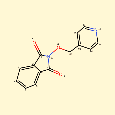 O=C1c2ccccc2C(=O)N1OCc1ccncc1